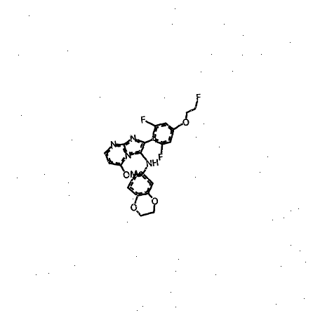 COc1ccnc2nc(-c3c(F)cc(OCCF)cc3F)c(Nc3ccc4c(c3)OCCO4)n12